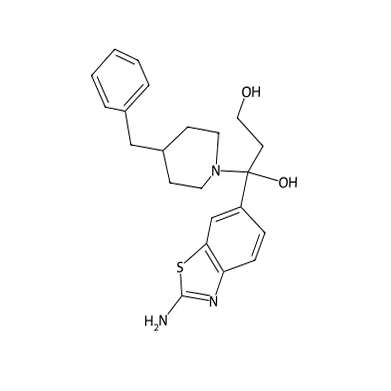 Nc1nc2ccc(C(O)(CCO)N3CCC(Cc4ccccc4)CC3)cc2s1